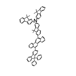 CC1(C)c2ccccc2-c2ccc(N(c3ccc4c(c3)C(C)(C)c3ccccc3-4)c3ccc4c(c3)C(C)(C)c3cc(-c5cc6c7ccccc7c(-c7ccc8c(c7)-c7ccccc7C8(c7ccccc7)c7ccccc7)cc6c6ccccc56)ccc3-4)cc21